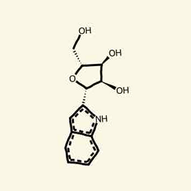 OC[C@H]1O[C@@H](c2cc3ccccc3[nH]2)[C@H](O)[C@@H]1O